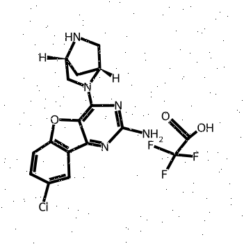 Nc1nc(N2C[C@H]3C[C@@H]2CN3)c2oc3ccc(Cl)cc3c2n1.O=C(O)C(F)(F)F